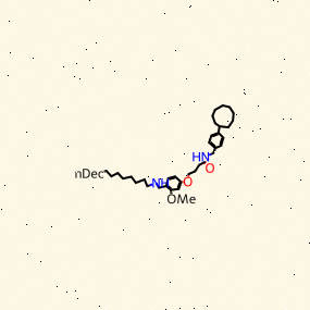 CCCCCCCCCCCCCCCCCCNCc1ccc(OCCCC(=O)NCc2ccc(C3CCCCCCCC3)cc2)cc1OC